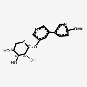 COc1ccc(-c2cncc(O[C@H]3SC[C@@H](O)[C@H](O)[C@H]3O)c2)cn1